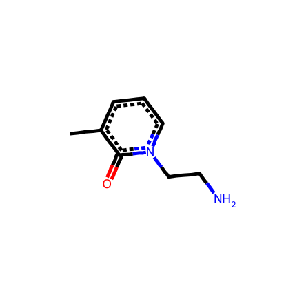 Cc1cccn(CCN)c1=O